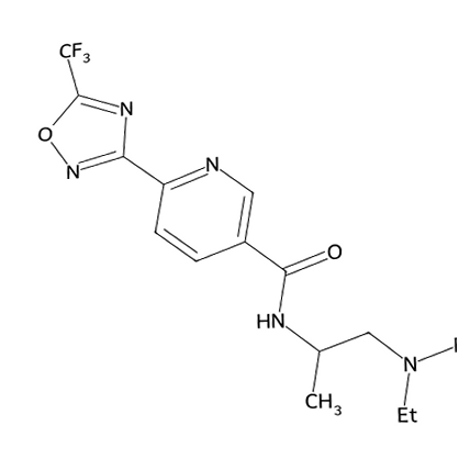 CCN(CC)CC(C)NC(=O)c1ccc(-c2noc(C(F)(F)F)n2)nc1